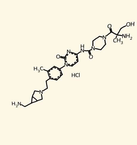 Cc1cc(-n2ccc(NC(=O)N3CCN(C(=O)[C@@](C)(N)CO)CC3)nc2=O)ccc1CCN1CC2C(CN)C2C1.Cl